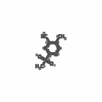 Cc1cnc(S(C)(=O)=O)nc1C#N